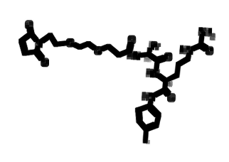 [CH2]c1ccc(NC(=O)[C@H](CCCNC(N)=O)NC(=O)[C@@H](NC(=O)CCOCCOCCN2C(=O)C=CC2=O)C(C)C)cc1